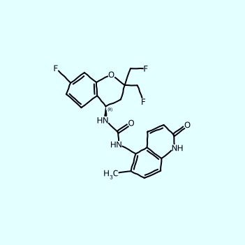 Cc1ccc2[nH]c(=O)ccc2c1NC(=O)N[C@@H]1CC(CF)(CF)Oc2cc(F)ccc21